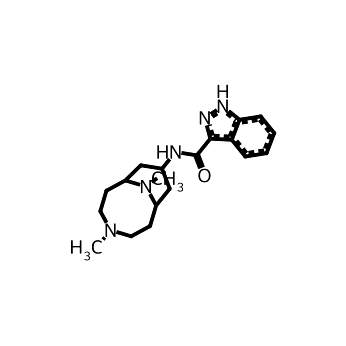 CN1CCC2CC(NC(=O)c3n[nH]c4ccccc34)CC(CC1)N2C